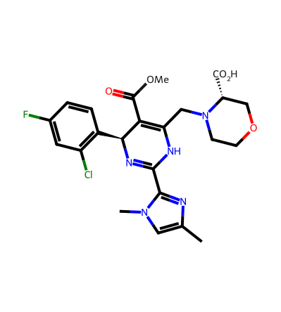 COC(=O)C1=C(CN2CCOC[C@H]2C(=O)O)NC(c2nc(C)cn2C)=N[C@H]1c1ccc(F)cc1Cl